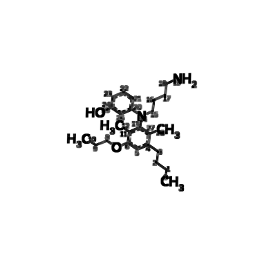 CCCCc1cc(OCCC)c(C)c(N(CCCCN)c2cccc(O)c2)c1C